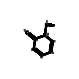 CNn1ccccc1=O